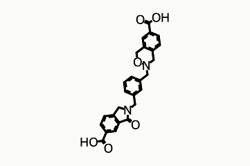 O=C(O)c1ccc2c(c1)CON(Cc1cccc(CN3Cc4ccc(C(=O)O)cc4C3=O)c1)C2